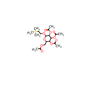 CC(=O)OCC1OC(OCCS(C)(C)C)C(OC(C)=O)C(OC(C)=O)C1OC(C)=O